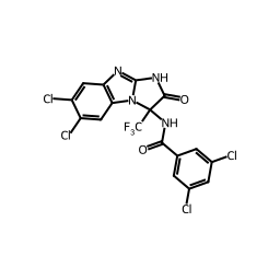 O=C(NC1(C(F)(F)F)C(=O)Nc2nc3cc(Cl)c(Cl)cc3n21)c1cc(Cl)cc(Cl)c1